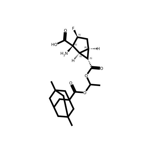 CC(OC(=O)[C@H]1[C@@H]2C[C@H](F)[C@@](N)(C(=O)O)[C@@H]21)OC(=O)C12CC3CC(C)(CC(C)(C3)C1)C2